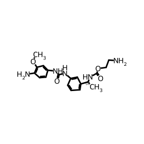 COc1cc(NC(=O)Nc2cccc([C@H](C)NC(=O)OCCN)c2)ccc1N